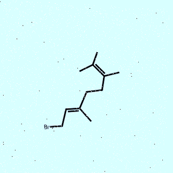 CC(C)=C(C)CC/C(C)=C/CBr